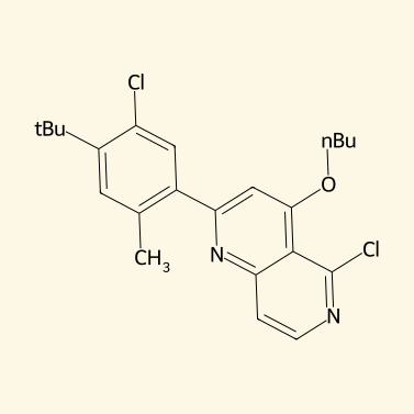 CCCCOc1cc(-c2cc(Cl)c(C(C)(C)C)cc2C)nc2ccnc(Cl)c12